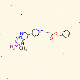 CC1(P)N=NN2N=CC(c3cc[n+](CCCC(=O)OCc4ccccc4)cc3)=CC2=N1